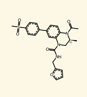 CC(=O)N1c2ccc(-c3ccc(S(C)(=O)=O)cc3)cc2N(C(=O)NCc2ccco2)C[C@@H]1C